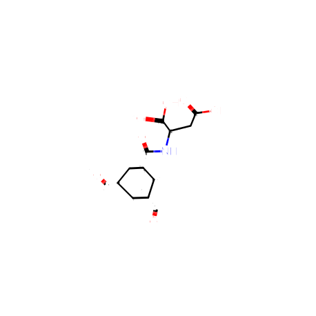 O=C[C@@H]1C[C@H](C=O)C[C@H](C(=O)NC(CC(=O)O)C(=O)O)C1